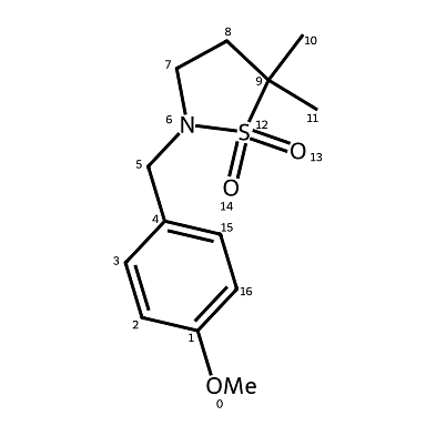 COc1ccc(CN2CCC(C)(C)S2(=O)=O)cc1